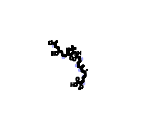 CO/C(=C/C=C/[C@@H](C)/C=C(C)/C=C\C=C/C(=O)N[C@H](C(=O)N/C=C\C[C@@H](O)C/C=C(\C)Cl)C(C)(C)C)C(=O)O